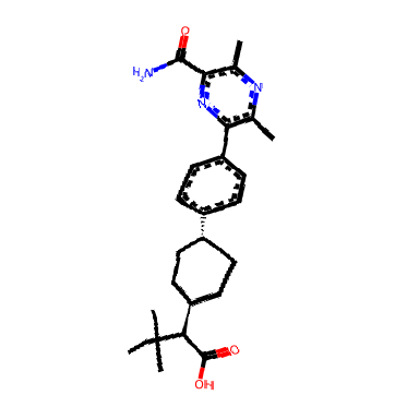 Cc1nc(C)c(-c2ccc([C@H]3CC[C@H](C(C(=O)O)C(C)(C)C)CC3)cc2)nc1C(N)=O